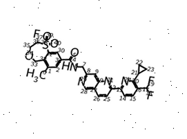 Cc1cc(C(=O)NCc2cc3nc(-c4ccc(C(F)F)c(C5CC5)n4)ccc3cn2)cc2c1COC[C@H](F)S2(=O)=O